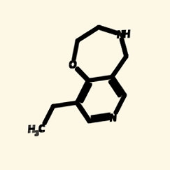 CCc1cncc2c1OCCNC2